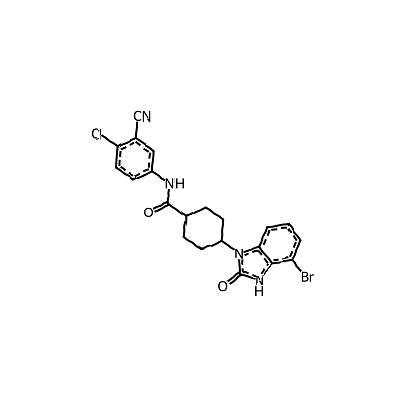 N#Cc1cc(NC(=O)C2CCC(n3c(=O)[nH]c4c(Br)cccc43)CC2)ccc1Cl